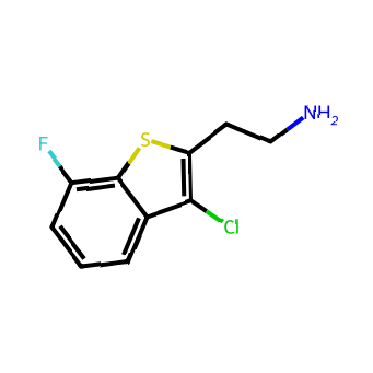 NCCc1sc2c(F)cccc2c1Cl